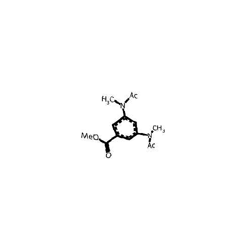 COC(=O)c1cc(N(C)C(C)=O)cc(N(C)C(C)=O)c1